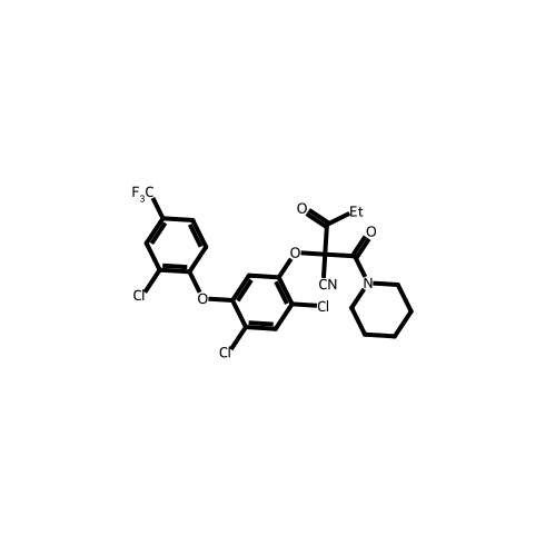 CCC(=O)C(C#N)(Oc1cc(Oc2ccc(C(F)(F)F)cc2Cl)c(Cl)cc1Cl)C(=O)N1CCCCC1